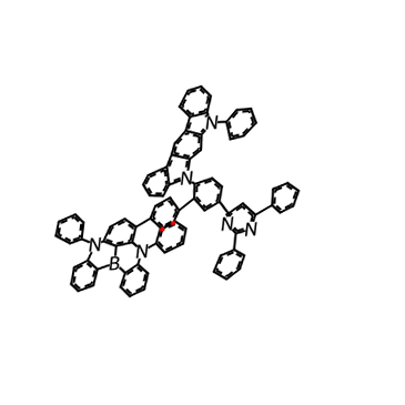 c1ccc(-c2cc(-c3ccc(-n4c5ccccc5c5cc6c7ccccc7n(-c7ccccc7)c6cc54)c(-c4ccc(-c5ccc6c7c5N(c5ccccc5)c5ccccc5B7c5ccccc5N6c5ccccc5)cc4)c3)nc(-c3ccccc3)n2)cc1